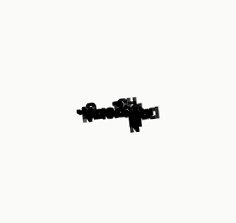 CCC(C)n1ncn(-c2ccc(N3CCN(c4ccc(OC[C@H]5CO[C@](Cn6cncn6)(c6ccc(Cl)cc6Cl)O5)cc4)CC3)cc2)c1=O.CC[CH]O